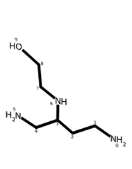 NCCC(CN)NCCO